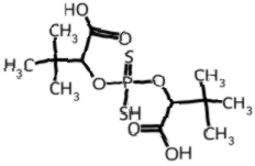 CC(C)(C)C(OP(=S)(S)OC(C(=O)O)C(C)(C)C)C(=O)O